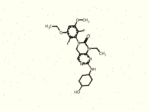 CCOc1cc(OC)c(F)c(N2Cc3cnc(NC4CCC(O)CC4)nc3N(CC)C2=O)c1F